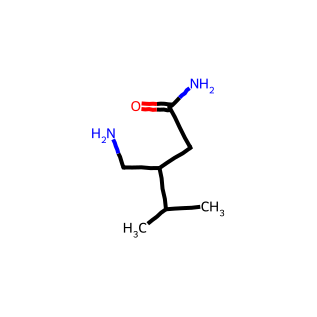 CC(C)C(CN)CC(N)=O